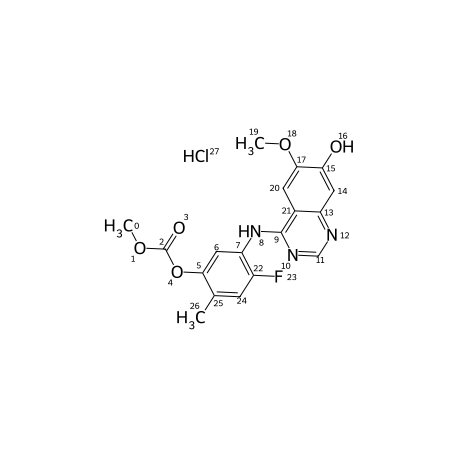 COC(=O)Oc1cc(Nc2ncnc3cc(O)c(OC)cc23)c(F)cc1C.Cl